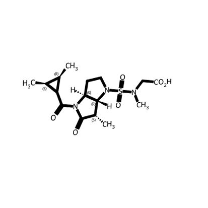 C[C@@H]1C(=O)N(C(=O)C2[C@@H](C)[C@H]2C)[C@H]2CCN(S(=O)(=O)N(C)CC(=O)O)[C@H]12